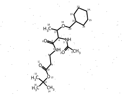 CC(=O)NC(C(=O)NCCC(=O)OC(C)(C)C)C(C)OCC1CCCCC1